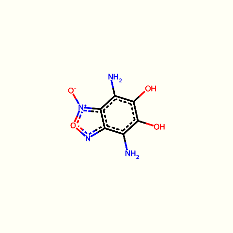 Nc1c(O)c(O)c(N)c2c1no[n+]2[O-]